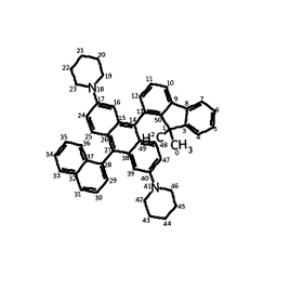 CC1(C)c2ccccc2-c2cccc(-c3c4cc(N5CCCCC5)ccc4c(-c4cccc5ccccc45)c4cc(N5CCCCC5)ccc34)c21